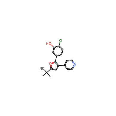 CC(C)(C#N)c1cc(-c2ccncc2)c(-c2ccc(Cl)c(O)c2)o1